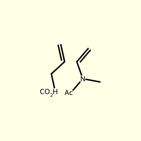 C=CCC(=O)O.C=CN(C)C(C)=O